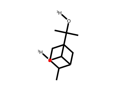 [3H]OC1C2CC1(C(C)(C)O[3H])CCC2C